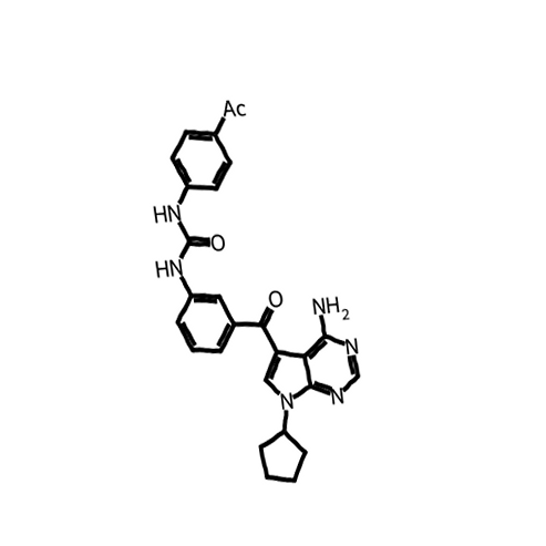 CC(=O)c1ccc(NC(=O)Nc2cccc(C(=O)c3cn(C4CCCC4)c4ncnc(N)c34)c2)cc1